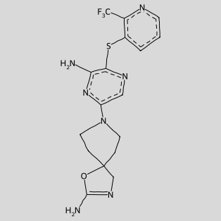 NC1=NCC2(CCN(c3cnc(Sc4cccnc4C(F)(F)F)c(N)n3)CC2)O1